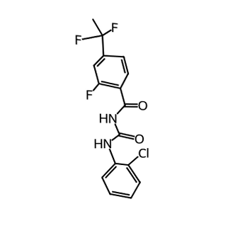 CC(F)(F)c1ccc(C(=O)NC(=O)Nc2ccccc2Cl)c(F)c1